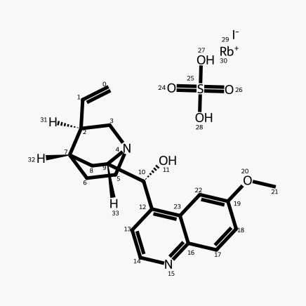 C=C[C@H]1CN2CC[C@H]1C[C@H]2[C@H](O)c1ccnc2ccc(OC)cc12.O=S(=O)(O)O.[I-].[Rb+]